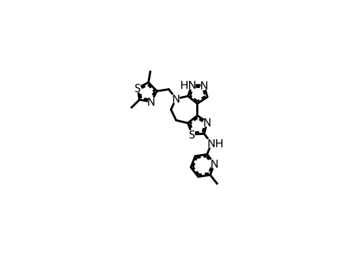 Cc1cccc(Nc2nc3c(s2)CCN(Cc2nc(C)sc2C)c2[nH]ncc2-3)n1